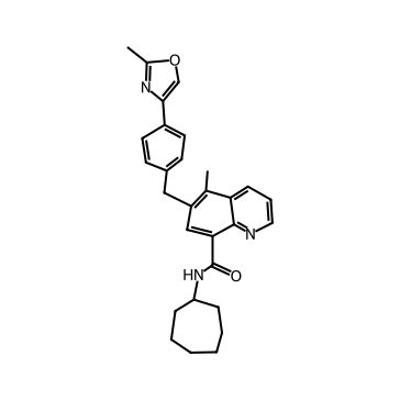 Cc1nc(-c2ccc(Cc3cc(C(=O)NC4CCCCCC4)c4ncccc4c3C)cc2)co1